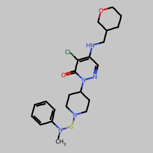 CN(SN1CCC(n2ncc(NCC3CCCOC3)c(Cl)c2=O)CC1)c1ccccc1